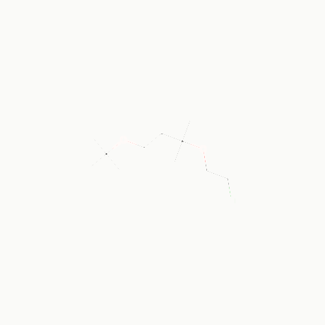 CC(C)(C)OCCC(C)(C)OCCCl